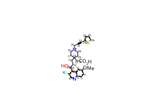 COc1ccc2ncc(F)c([C@H](O)CCC3(CC(=O)O)CCN(CC#Cc4cccs4)CC3)c2c1